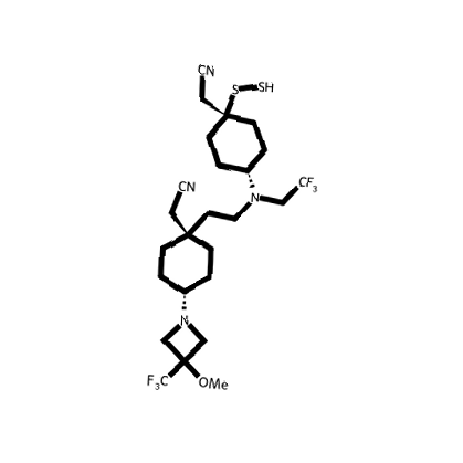 COC1(C(F)(F)F)CN([C@H]2CC[C@@](CC#N)(CCN(CC(F)(F)F)[C@H]3CC[C@@](CC#N)(SS)CC3)CC2)C1